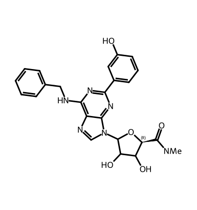 CNC(=O)[C@@H]1OC(n2cnc3c(NCc4ccccc4)nc(-c4cccc(O)c4)nc32)C(O)C1O